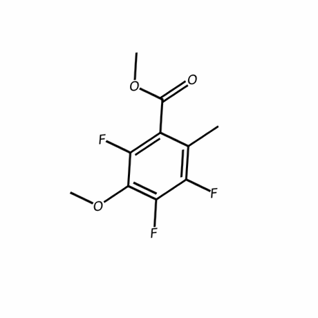 COC(=O)c1c(C)c(F)c(F)c(OC)c1F